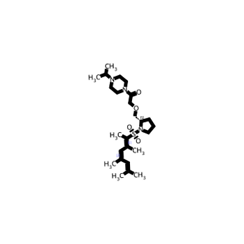 CC(C)=C/C(C)=C\C(C)=C(/C)S(=O)(=O)N1CCC[C@H]1COCC(=O)N1CCN(C(C)C)CC1